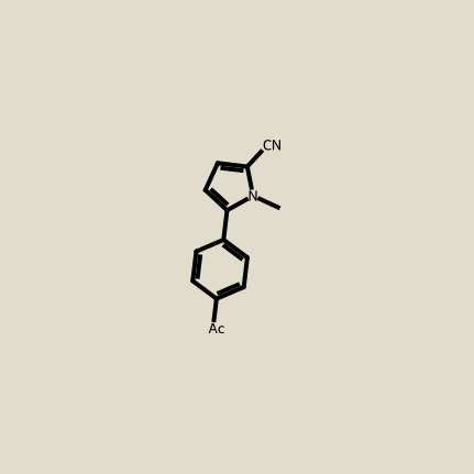 CC(=O)c1ccc(-c2ccc(C#N)n2C)cc1